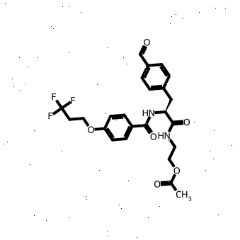 CC(=O)OCCNC(=O)[C@H](Cc1ccc(C=O)cc1)NC(=O)c1ccc(OCCC(F)(F)F)cc1